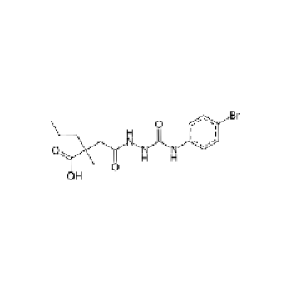 CCCC(C)(CC(=O)NNC(=O)Nc1ccc(Br)cc1)C(=O)O